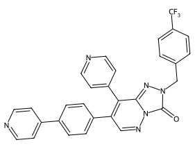 O=c1n(Cc2ccc(C(F)(F)F)cc2)nc2c(-c3ccncc3)c(-c3ccc(-c4ccncc4)cc3)cnn12